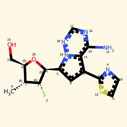 C[C@H]1[C@@H](F)[C@H](c2cc(-c3nccs3)c3c(N)ncnn23)O[C@@H]1CO